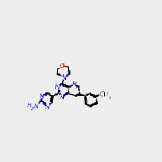 Cc1cccc(-c2cnc3c(N4CCOCC4)nc(-c4cnc(N)nc4)nc3c2)c1